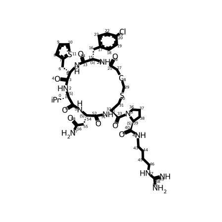 CC(C)[C@@H]1NC(=O)[C@H](Cc2cccs2)NC(=O)[C@H](Cc2ccc(Cl)cc2)NC(=O)CCCSC[C@@H](C(=O)N2CCC[C@H]2C(=O)NCCCCNC(=N)N)NC(=O)[C@H](CC(N)=O)NC1=O